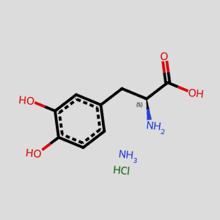 Cl.N.N[C@@H](Cc1ccc(O)c(O)c1)C(=O)O